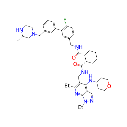 CCc1nc2c(cnn2CC)c(NC2CCOCC2)c1CNC(=O)[C@H]1CCCC[C@H]1C(=O)NCc1ccc(F)c(-c2cccc(CN3CCN[C@@H](C)C3)c2)c1